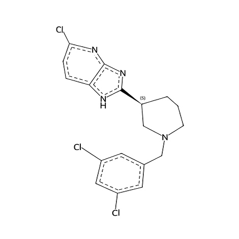 Clc1cc(Cl)cc(CN2CCC[C@H](c3nc4nc(Cl)ccc4[nH]3)C2)c1